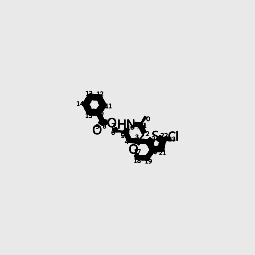 C[C@H]1C[C@@]2(C[C@@H](COC(=O)c3ccccc3)N1)OCCc1cc(Cl)sc12